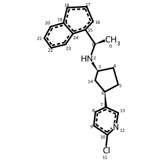 C[C@@H](N[C@H]1CC[C@@H](c2ccc(Cl)nc2)C1)c1cccc2ccccc12